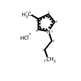 CCCn1ccc(C)c1.Cl